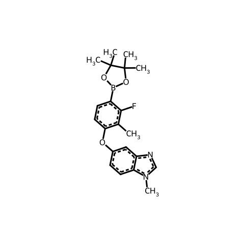 Cc1c(Oc2ccc3c(c2)ncn3C)ccc(B2OC(C)(C)C(C)(C)O2)c1F